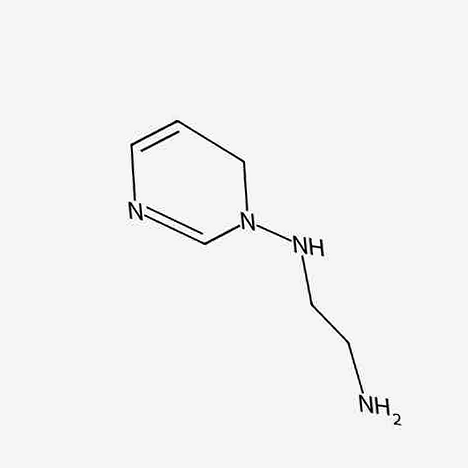 NCCNN1C=NC=CC1